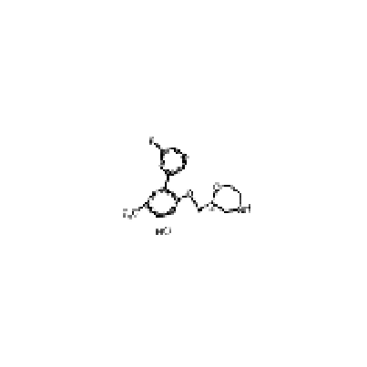 Cl.Fc1cccc(-c2cc(C(F)(F)F)ccc2OC[C@@H]2CNCCO2)c1